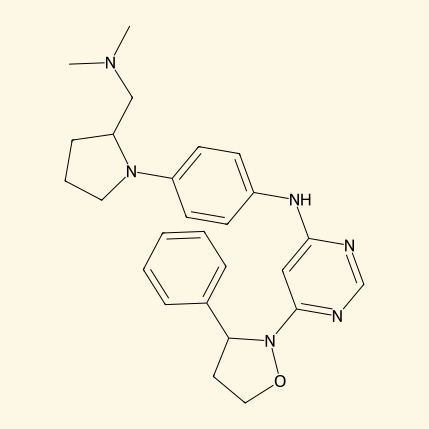 CN(C)CC1CCCN1c1ccc(Nc2cc(N3OCCC3c3ccccc3)ncn2)cc1